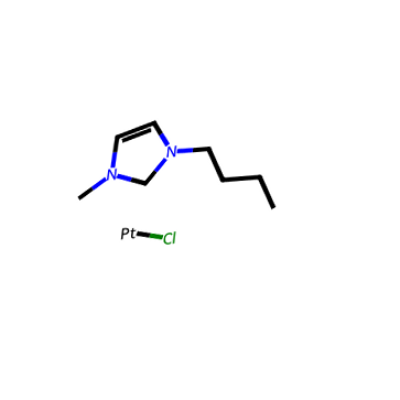 CCCCN1C=CN(C)C1.[Cl][Pt]